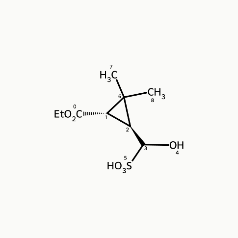 CCOC(=O)[C@H]1[C@H](C(O)S(=O)(=O)O)C1(C)C